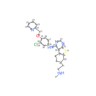 CNCCC1CCc2c(sc3ncnc(Nc4ccc(OCc5ccccn5)c(Cl)c4)c23)C1